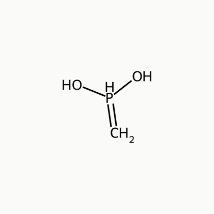 C=[PH](O)O